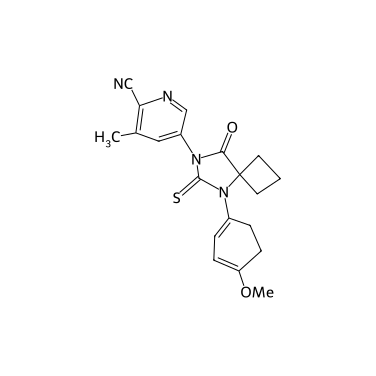 COC1=CC=C(N2C(=S)N(c3cnc(C#N)c(C)c3)C(=O)C23CCC3)CC1